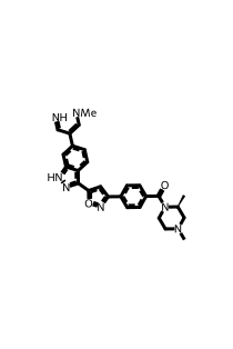 CN/C=C(\C=N)c1ccc2c(-c3cc(-c4ccc(C(=O)N5CCN(C)C[C@@H]5C)cc4)no3)n[nH]c2c1